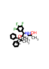 CC(O)CN[C@H](c1cc(F)c(F)c(F)c1)[C@@H](C)O[Si](c1ccccc1)(c1ccccc1)C(C)(C)C